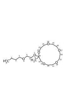 CCCCOCCOC1(C)COCCOCCOCCOCCO1